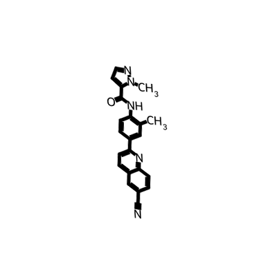 Cc1cc(-c2ccc3cc(C#N)ccc3n2)ccc1NC(=O)c1ccnn1C